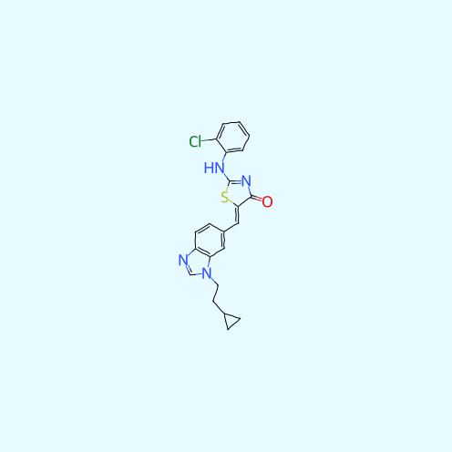 O=C1N=C(Nc2ccccc2Cl)S/C1=C\c1ccc2ncn(CCC3CC3)c2c1